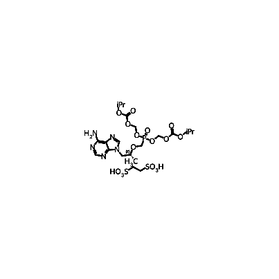 CC(C)OC(=O)OCOP(=O)(CO[C@H](C)Cn1cnc2c(N)ncnc21)OCOC(=O)OC(C)C.O=S(=O)(O)CCS(=O)(=O)O